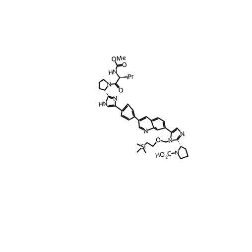 COC(=O)N[C@H](C(=O)N1CCC[C@H]1c1nc(-c2ccc(-c3cnc4cc(-c5cnc([C@@H]6CCCN6C(=O)O)n5COCC[Si](C)(C)C)ccc4c3)cc2)c[nH]1)C(C)C